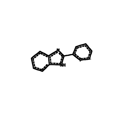 [c]1[c]c(-c2nc3ccccc3[nH]2)ccc1